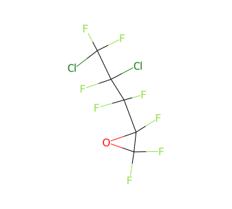 FC(F)(Cl)C(F)(Cl)C(F)(F)C1(F)OC1(F)F